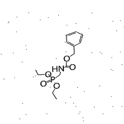 CCOP(=O)(CNC(=O)OCc1ccccc1)OCC